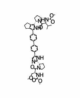 COC[C@H](NC(=O)OC)C(=O)N1CCC[C@H]1c1ncc(-c2ccc(-c3ccc(-c4[nH]c([C@@H]5CCCN5C(=O)[C@@H](NC(=O)OC)C(C)C)c5c4CCC5)cc3)cc2)[nH]1